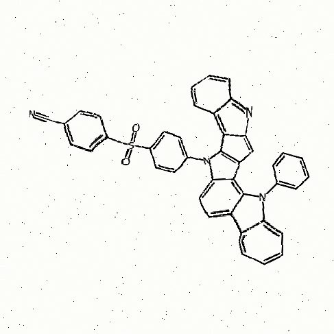 N#Cc1ccc(S(=O)(=O)c2ccc(-n3c4c(c5c3ccc3c6ccccc6n(-c6ccccc6)c35)C=C3N=c5ccccc5=C34)cc2)cc1